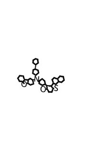 c1ccc(-c2ccc(N(c3ccc4c(c3)oc3ccc5sc6c7ccccc7ccc6c5c34)c3ccc4oc5ccccc5c4c3)cc2)cc1